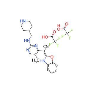 Cc1cnc(NCC2CCNCC2)nc1C(C#N)=C1Nc2ccccc2O1.O=C(O)C(F)(F)F.O=C(O)C(F)(F)F